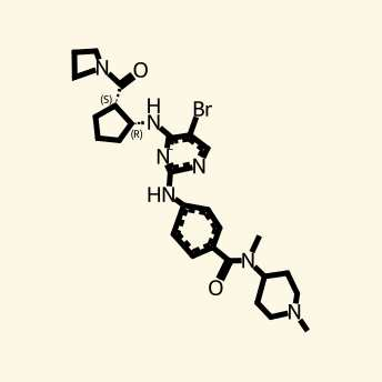 CN1CCC(N(C)C(=O)c2ccc(Nc3ncc(Br)c(N[C@@H]4CCC[C@@H]4C(=O)N4CCC4)n3)cc2)CC1